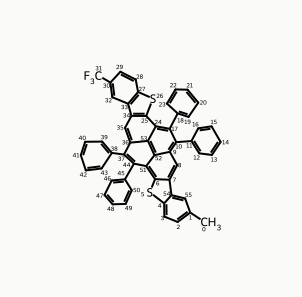 Cc1ccc2sc3c(cc4c(-c5ccccc5)c(-c5ccccc5)c5c6sc7ccc(C(F)(F)F)cc7c6cc6c(-c7ccccc7)c(-c7ccccc7)c3c4c65)c2c1